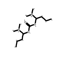 CCCC(OC(=O)OC(CCC)N(C)C)N(C)C